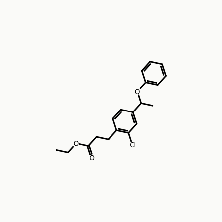 CCOC(=O)CCc1ccc(C(C)Oc2ccccc2)cc1Cl